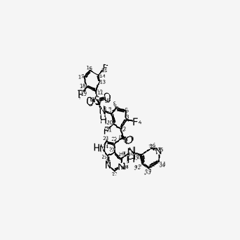 O=C(c1c(F)ccc(NS(=O)(=O)c2cc(F)ccc2F)c1F)c1c[nH]c2ncnc(Nc3cccnc3)c12